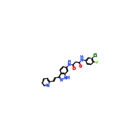 O=C(CC(=O)Nc1ccc2c(C=Cc3ccccn3)n[nH]c2c1)Nc1ccc(F)c(Cl)c1